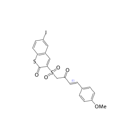 COc1ccc(/C=C/C(=O)CS(=O)(=O)c2cc3cc(I)ccc3sc2=O)cc1